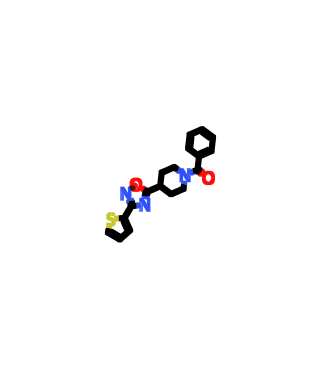 O=C(c1ccccc1)N1CCC(c2nc(-c3cccs3)no2)CC1